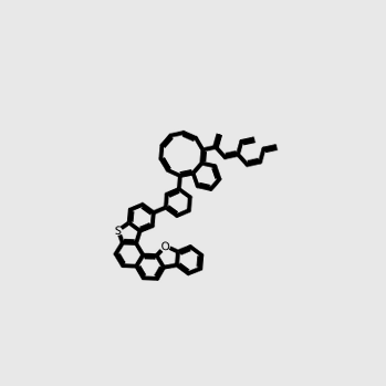 C=C/C=C\C(C=C)=C\C(=C)c1ccccccc(C2=CC(c3ccc4sc5ccc6ccc7c8ccccc8oc7c6c5c4c3)=CCC2)c2ccccc12